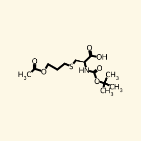 CC(=O)OCCCSC[C@H](NC(=O)OC(C)(C)C)C(=O)O